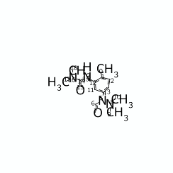 Cc1ccc(N(C=O)N(C)C)cc1NC(=O)N(C)C